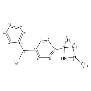 CN1NC(C)(c2ccc(C(O)c3ccccc3)cc2)N1